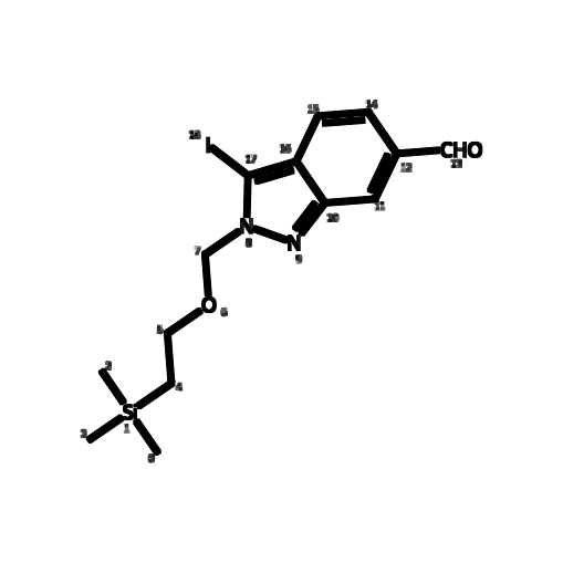 C[Si](C)(C)CCOCn1nc2cc(C=O)ccc2c1I